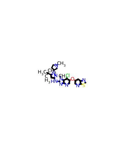 CN1CCC(n2nc(Nc3nc4ncc(Oc5cnc6scnc6c5)c(Cl)c4n3C)cc2C(C)(C)C)C1